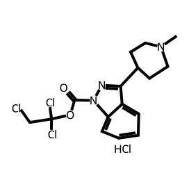 CN1CCC(c2nn(C(=O)OC(Cl)(Cl)CCl)c3ccccc23)CC1.Cl